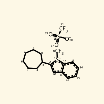 FC(F)(F)[s+]1c(C2CCCCCC2)cc2ccccc21.O=S(=O)([O-])C(F)(F)F